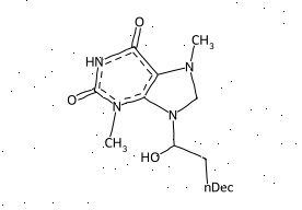 CCCCCCCCCCCC(O)N1CN(C)c2c1n(C)c(=O)[nH]c2=O